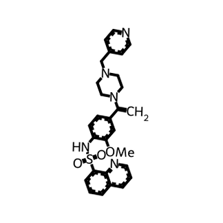 C=C(c1ccc(NS(=O)(=O)c2cccc3cccnc23)c(OC)c1)N1CCN(Cc2ccncc2)CC1